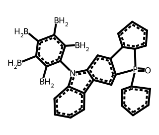 Bc1c(B)c(B)c(-n2c3ccccc3c3cc4c(cc32)-c2ccccc2P4(=O)c2ccccc2)c(B)c1B